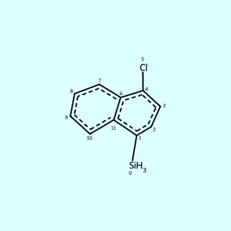 [SiH3]c1ccc(Cl)c2ccccc12